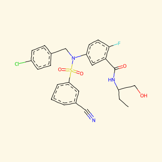 CCC(CO)NC(=O)c1cc(N(Cc2ccc(Cl)cc2)S(=O)(=O)c2cccc(C#N)c2)ccc1F